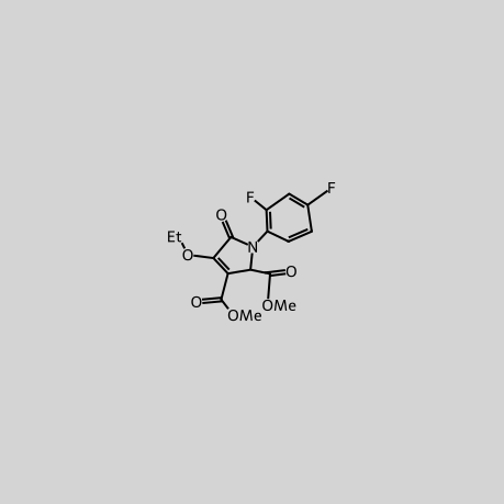 CCOC1=C(C(=O)OC)C(C(=O)OC)N(c2ccc(F)cc2F)C1=O